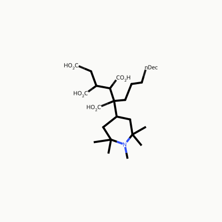 CCCCCCCCCCCCCC(C(=O)O)(C1CC(C)(C)N(C)C(C)(C)C1)C(C(=O)O)C(CC(=O)O)C(=O)O